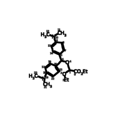 CCOC(=O)C(OCC)OC(c1ccc(N(C)C)cc1)c1ccc(N(C)C)cc1